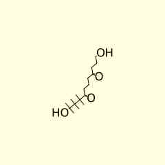 CC(C)(O)C(C)(C)C(C)(C)C(=O)CCCC(=O)CCCO